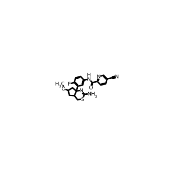 COC1CC2CSC(N)=NC2(c2cc(NC(=O)c3ccc(C#N)cn3)ccc2F)C1